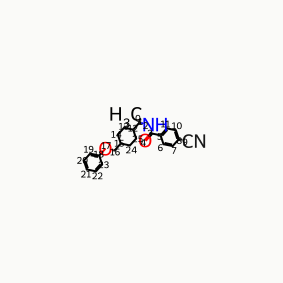 CC(NC(=O)c1ccc(C#N)cc1)C1CCC(COc2ccccc2)CC1